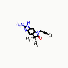 CCC#CCN1C(=O)C(C)(C)c2cc3nc(N)[nH]c3cc21